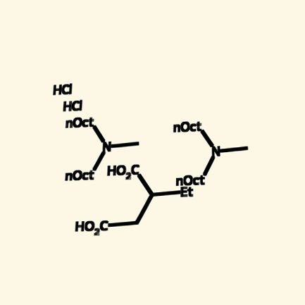 CCC(CC(=O)O)C(=O)O.CCCCCCCCN(C)CCCCCCCC.CCCCCCCCN(C)CCCCCCCC.Cl.Cl